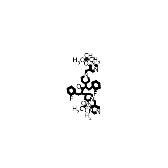 CC(C)(C)Oc1ncncc1CN1CCC(C(Cc2ccccc2F)C(=O)C(Cc2ccccc2F)C2CCN(Cc3cncnc3OC(C)(C)C)CC2)CC1